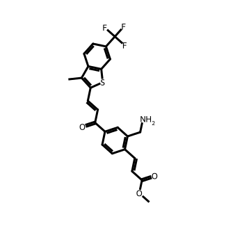 COC(=O)C=Cc1ccc(C(=O)C=Cc2sc3cc(C(F)(F)F)ccc3c2C)cc1CN